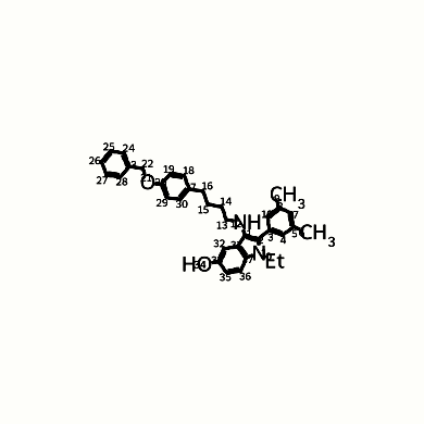 CCn1c(-c2cc(C)cc(C)c2)c(NCCCCc2ccc(OCc3ccccc3)cc2)c2cc(O)ccc21